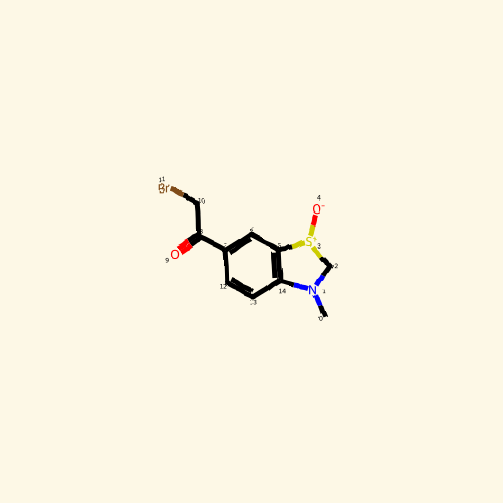 CN1C[S+]([O-])c2cc(C(=O)CBr)ccc21